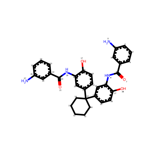 Nc1cccc(C(=O)Nc2cc(C3(c4ccc(O)c(NC(=O)c5cccc(N)c5)c4)CCCCC3)ccc2O)c1